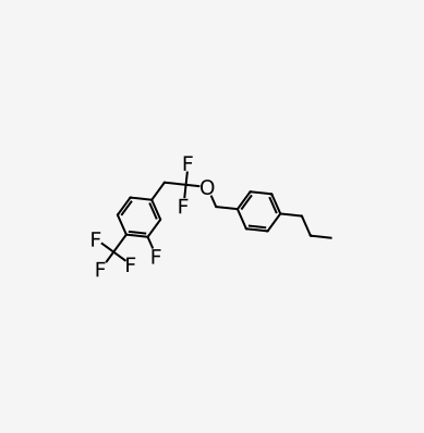 CCCc1ccc(COC(F)(F)Cc2ccc(C(F)(F)F)c(F)c2)cc1